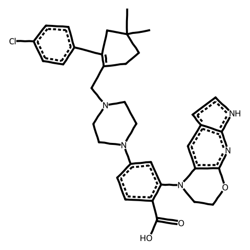 CC1(C)CCC(CN2CCN(c3ccc(C(=O)O)c(N4CCOc5nc6[nH]ccc6cc54)c3)CC2)=C(c2ccc(Cl)cc2)C1